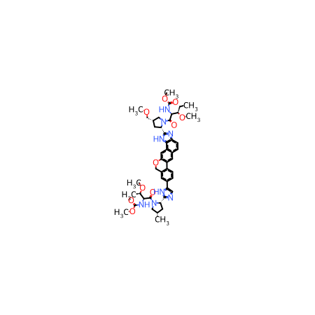 CC[C@@H](OC)[C@H](NC(=O)OC)C(=O)N1C[C@@H](COC)C[C@H]1c1nc2ccc3cc4c(cc3c2[nH]1)OCc1cc(-c2cnc([C@@H]3C[C@H](C)CN3C(=O)[C@@H](NC(=O)OC)[C@@H](C)OC)[nH]2)ccc1-4